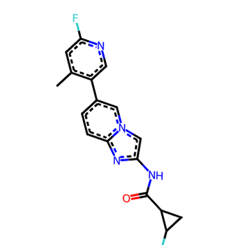 Cc1cc(F)ncc1-c1ccc2nc(NC(=O)C3CC3F)cn2c1